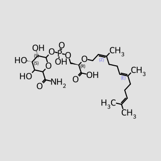 CC(C)=CCC/C(C)=C/CC/C(C)=C\CO[C@H](COP(=O)(O)OC1OC(C(N)=O)C(O)[C@H](O)[C@@H]1O)C(=O)O